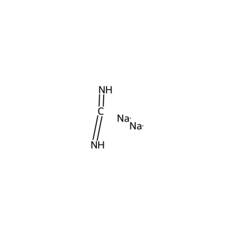 N=C=N.[Na].[Na]